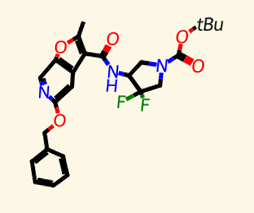 Cc1oc2cnc(OCc3ccccc3)cc2c1C(=O)NC1CN(C(=O)OC(C)(C)C)CC1(F)F